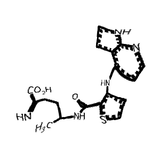 CC(CC(=N)C(=O)O)NC(=O)c1sccc1Nc1ccnc2[nH]ccc12